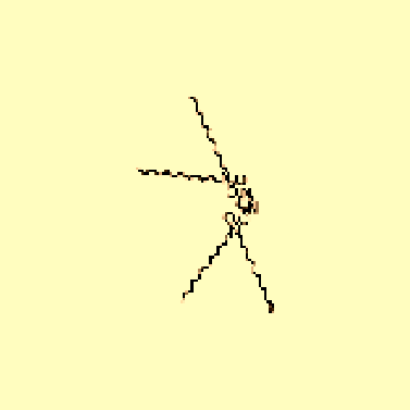 CCCCCCCCCCCCN(CCCCCCCCCCCC)C(=O)Oc1cc(OC(=O)N(CCCCCCCCCCCC)CCCCCCCCCCCC)ncn1